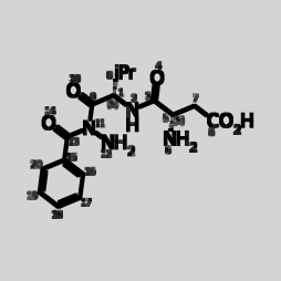 CC(C)[C@H](NC(=O)[C@@H](N)CC(=O)O)C(=O)N(N)C(=O)c1ccccc1